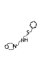 c1ccc(CSCCNCCN2CCOCC2)cc1